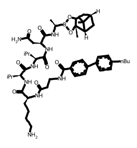 CCCCc1ccc(-c2ccc(C(=O)NCCC(=O)N[C@@H](CCCCN)C(=O)N[C@H](C(=O)N[C@H](C(=O)N[C@@H](CC(N)=O)C(=O)N[C@@H](C)B3OC4C[C@@H]5C[C@@H](C5(C)C)[C@]4(C)O3)C(C)C)C(C)C)cc2)cc1